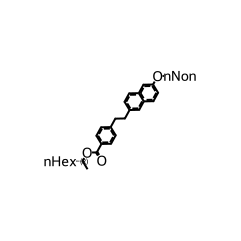 CCCCCCCCCOc1ccc2cc(CCc3ccc(C(=O)O[C@H](C)CCCCCC)cc3)ccc2c1